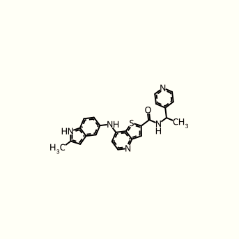 Cc1cc2cc(Nc3ccnc4cc(C(=O)NC(C)c5ccncc5)sc34)ccc2[nH]1